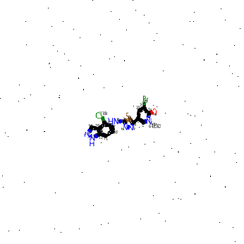 CC(C)(C)n1cc(-c2nnc(Nc3ccc4[nH]ncc4c3Cl)s2)cc(Br)c1=O